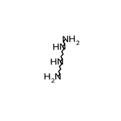 NCCCCCNCCCCCNCCN